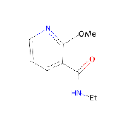 CCNC(=O)c1cccnc1OC